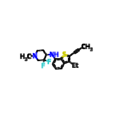 CC#Cc1sc2c(NC3CCN(C)CC3(F)F)cccc2c1CC